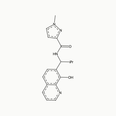 CC(C)C(NC(=O)c1ccn(C)n1)c1ccc2cccnc2c1O